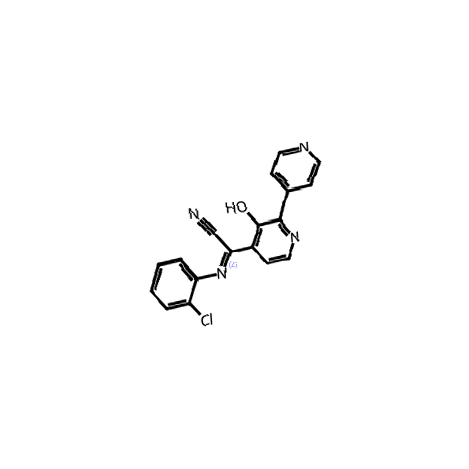 N#C/C(=N\c1ccccc1Cl)c1ccnc(-c2ccncc2)c1O